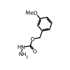 COc1cccc(COC(=O)NN)c1